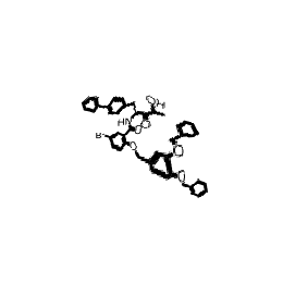 CC(O)C(=O)[C@H](Cc1ccc(-c2ccccc2)cc1)NC(=O)c1cc(Br)ccc1OCc1ccc(OCc2ccccc2)c(OCc2ccccc2)c1